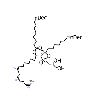 CC/C=C\C/C=C\C/C=C\CCCCCC(OC(=O)CCCCCCCCCCCCCCCCC)C(OC(=O)CCCCCCCCCCCCCCCCC)C(=O)OCC(O)CO